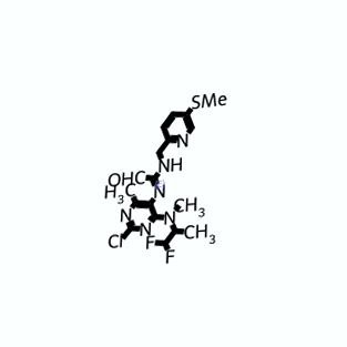 CSc1ccc(CN/C(C=O)=N/c2c(C)nc(Cl)nc2N(C)C(C)C(F)F)nc1